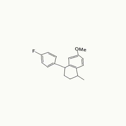 COc1ccc2c(c1)C(c1ccc(F)cc1)CCC2C